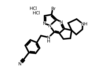 Cl.Cl.N#Cc1ccc(CNc2c3c(nc4c(Br)cnn24)C2(CCNCC2)CC3)cc1